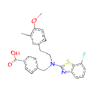 COc1ccc(CCN(Cc2ccc(C(=O)O)cc2)c2nc3cccc(F)c3s2)cc1C